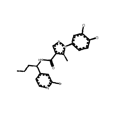 CCCC(NC(=O)c1cnn(-c2ccc(Cl)c(Cl)c2)c1C)c1ccnc(Br)c1